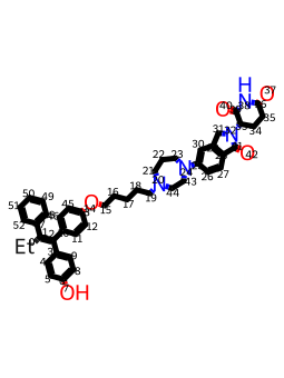 CCC(=C(c1ccc(O)cc1)c1ccc(OCCCCCN2CCCN(c3ccc4c(c3)CN(C3CCC(=O)NC3=O)C4=O)CC2)cc1)c1ccccc1